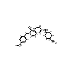 COc1ccc(Cn2ccc3cc(NC4CCC(N)CC4)ccc3c2=O)cc1